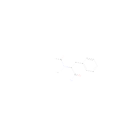 CCCC(=O)N(CCC)C(Cc1ccccc1)C(N)=O